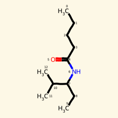 CCC[CH]C(=O)NC(CC)C(C)C